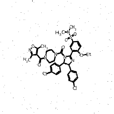 CCOc1ccc(S(=O)(=O)N(C)C)cc1C1=NC(c2ccc(Cl)cc2)C(c2ccc(Cl)cc2)N1C(=O)N1CCN(C(=O)c2c(C)noc2C)CC1